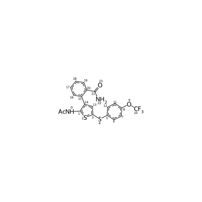 CC(=O)Nc1sc(Sc2ccc(OC(F)(F)F)cc2)cc1-c1ccccc1C(N)=O